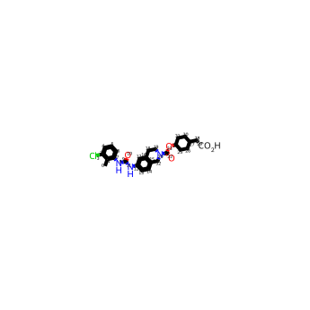 Cc1c(Cl)cccc1NC(=O)Nc1ccc2c(c1)CCN(C(=O)OC1CCC(CC(=O)O)CC1)C2